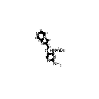 CCCCNc1nc(N)ncc1OCc1cn2c#cncc2n1